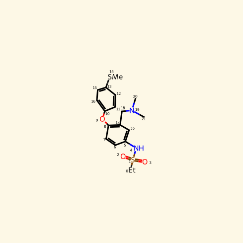 CCS(=O)(=O)Nc1ccc(Oc2ccc(SC)cc2)c(CN(C)C)c1